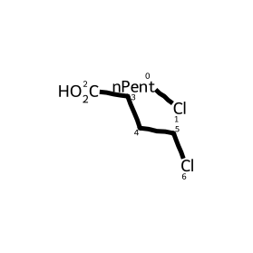 CCCCCCl.O=C(O)CCCCl